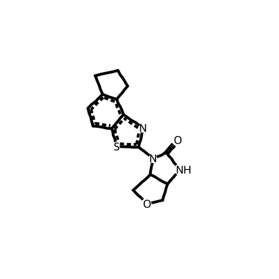 O=C1NC2COCC2N1c1nc2c3c(ccc2s1)CCC3